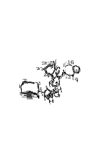 Cl.c1ccc(-c2cc(Nc3nc(N4CCOCC4)c4oc5ncccc5c4n3)[nH]n2)nc1